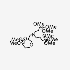 CO[Si](CCCN(CCC[Si](OC)(OC)OC)CC1COCCC[Si](OC)(OC)O1)(OC)OC